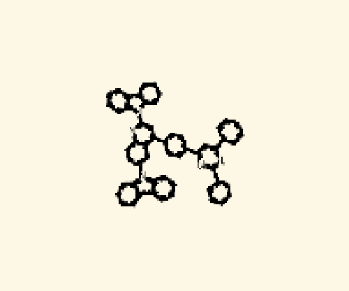 c1ccc(-c2cc(-c3ccc(-c4cc(-n5c6ccccc6c6ccccc65)nc5ccc(-n6c7ccccc7c7ccccc76)cc45)cc3)nc(-c3ccccc3)n2)cc1